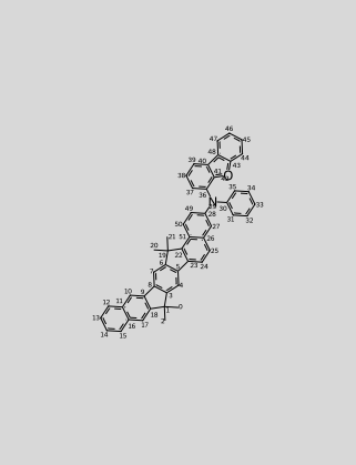 CC1(C)c2cc3c(cc2-c2cc4ccccc4cc21)C(C)(C)c1c-3ccc2cc(N(c3ccccc3)c3cccc4c3oc3ccccc34)ccc12